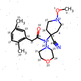 CON1CCC(C#N)(N(C(=O)Cc2cc(C)ccc2C)N2CCOCC2)CC1